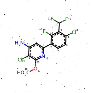 Nc1cc(-c2ccc(Cl)c(C(F)F)c2F)nc(OC(=O)O)c1Cl